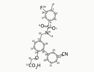 Cc1ccc(S(=O)(=O)N(C)Cc2ccc(OCC(=O)O)c(-c3cccc(C#N)c3)c2)cc1F